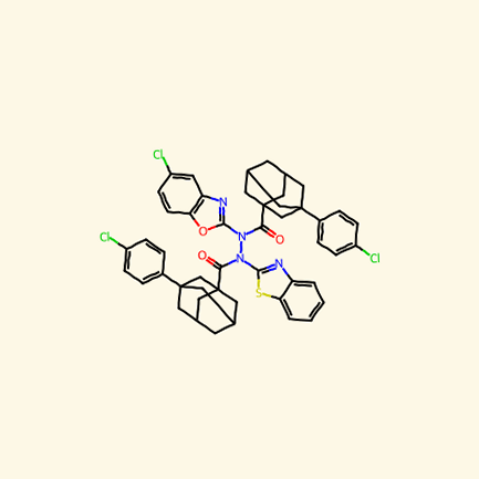 O=C(N(c1nc2cc(Cl)ccc2o1)N(C(=O)C12CC3CC(C1)CC(c1ccc(Cl)cc1)(C3)C2)c1nc2ccccc2s1)C12CC3CC(C1)CC(c1ccc(Cl)cc1)(C3)C2